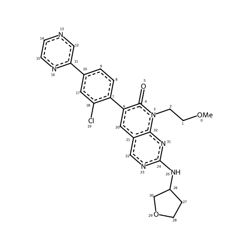 COCCn1c(=O)c(-c2ccc(-c3cnccn3)cc2Cl)cc2cnc(NC3CCOC3)nc21